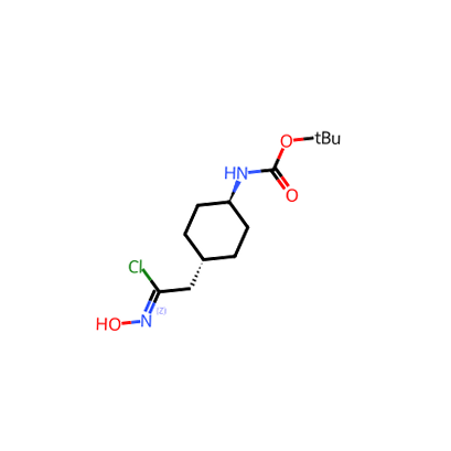 CC(C)(C)OC(=O)N[C@H]1CC[C@H](C/C(Cl)=N/O)CC1